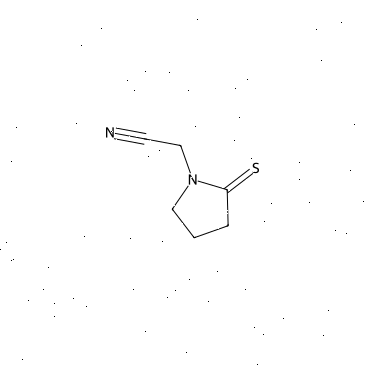 N#CCN1CCCC1=S